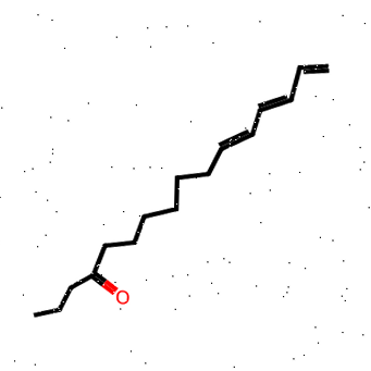 C=C/C=C/C=CCCCCCCC(=O)CCC